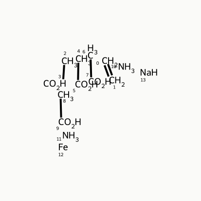 C=C.CC(=O)O.CC(=O)O.CC(=O)O.CC(=O)O.N.N.[Fe].[NaH]